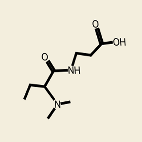 CCC(C(=O)NCCC(=O)O)N(C)C